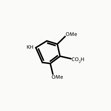 COc1cccc(OC)c1C(=O)O.[KH]